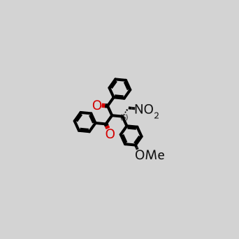 COc1ccc([C@@H](C[N+](=O)[O-])C(C(=O)c2ccccc2)C(=O)c2ccccc2)cc1